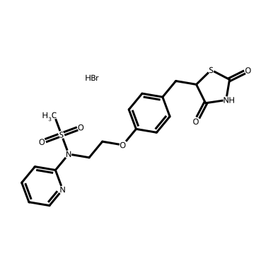 Br.CS(=O)(=O)N(CCOc1ccc(CC2SC(=O)NC2=O)cc1)c1ccccn1